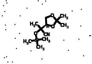 CC1(C)OC[C@H](C(C)(C#N)O[Si](C)(C)C)O1